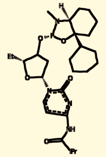 CC[C@H]1O[C@@H](n2ccc(NC(=O)C(C)C)nc2=O)CC1O[P@@]1O[C@@]2(C3CCCCC3)CCCC[C@@H]2N1C